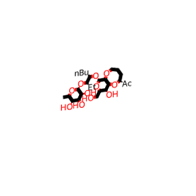 CCCC[C@@H](O[C@@H]1OC(CO)[C@H](O)C2O[C@@H](C(C)=O)CCCOC21)[C@@H](CC)O[C@@H]1OC(C)[C@@H](O)C(O)[C@@H]1O